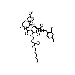 CCCCCCOC(=O)OCOc1c2n(cc(C(=O)NCc3ccc(F)cc3F)c1=O)[C@@H]1CN(C2=O)[C@@H](C)CC[C@]12CC(OC)=NO2